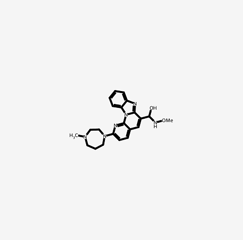 CONC(O)c1cc2ccc(N3CCCN(C)CC3)nc2n2c1nc1ccccc12